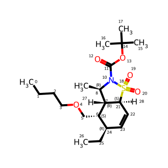 CCCCOC[C@@H]1[C@@H]2[C@@H](C)N(C(=O)OC(C)(C)C)S(=O)(=O)[C@H]2C=C[C@H]1CC